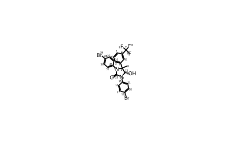 CC1(c2cccc(C(F)(F)F)c2)C(O)N(c2ccc(Br)cc2)C(=O)N1c1ccc(Br)cc1